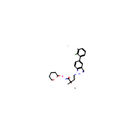 COc1cccc(-c2ccc3c(cnn3CCC(C)(C(=O)NOC3CCCCO3)S(C)(=O)=O)c2)c1F